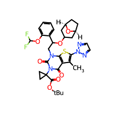 Cc1c(-n2nccn2)sc2c1c(=O)n(C1(C(=O)OC(C)(C)C)CC1)c(=O)n2CC(OC1C[C@H]2CC[C@@H](C1)O2)c1ccccc1OC(F)F